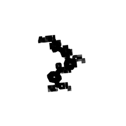 C=C(C#N)c1cccc(C(=O)Nc2cnc(C)c(-n3cc(-c4cnc(NC(C)=O)s4)nn3)c2)c1